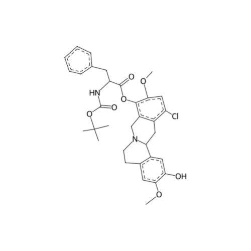 COc1cc2c(cc1O)C1Cc3c(Cl)cc(OC)c(OC(=O)C(Cc4ccccc4)NC(=O)OC(C)(C)C)c3CN1CC2